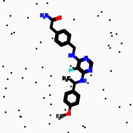 CC(Nc1ncnc(NCc2ccc(CC(N)=O)cc2)c1F)c1ccc(OC(F)(F)F)cc1